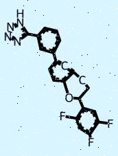 Fc1cc(F)c(C2CCc3cc(-c4cccc(-c5nnn[nH]5)c4)ccc3O2)cc1F